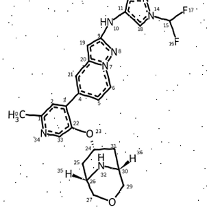 Cc1cc(-c2ccn3nc(Nc4cnn(C(F)F)c4)cc3c2)c(O[C@H]2C[C@H]3COC[C@@H](C2)N3)cn1